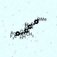 CCOc1cc(OCc2ccc(OC)cc2)ncc1-c1ncc(NC(=O)Nc2ccc(C(C)=O)c(C(F)(F)F)c2)c(C)n1